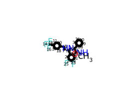 CNC(=O)[C@H](N[C@@H](CCc1ccc(C(F)(F)F)cc1)c1ccc(F)c(F)c1)c1ccccc1